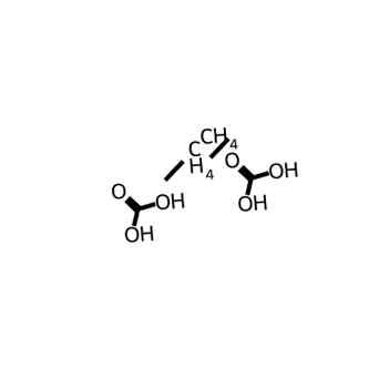 C.C.CC.CC.O=C(O)O.O=C(O)O